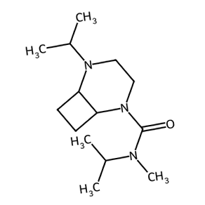 CC(C)N(C)C(=O)N1CCN(C(C)C)C2CCC21